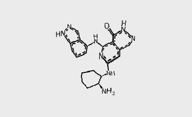 N[C@H]1CCCC[C@H]1Nc1cc2cn[nH]c(=O)c2c(Nc2cccc3[nH]ncc23)n1